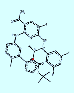 Cc1ncc(Nc2nc(N[C@H](c3cc(F)cc(F)c3)[C@H](C)NC(=O)OC(C)(C)C)c(F)cc2C(N)=O)cc1-n1nccn1